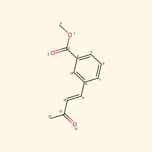 COC(=O)c1cccc(/C=C/C(C)=O)c1